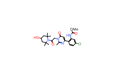 COC(=O)Nc1cc(Cl)ccc1-c1cc(=O)n(CC(=O)N2C(C)(C)CC(O)CC2(C)C)c(C)n1